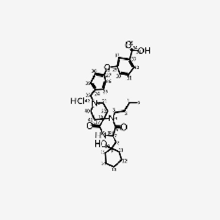 CCCCN1C(=O)[C@@H](CC2(O)CCCCC2)NC(=O)C12CCN(Cc1ccc(Oc3cccc(C(=O)O)c3)cc1)CC2.Cl